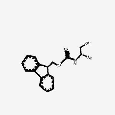 CC(=O)[C@H](CO)NC(=O)OCC1c2ccccc2-c2ccccc21